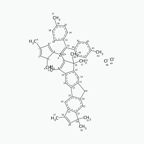 CC1=CC(C)[C]([Zr+2]([C]2=C(C)c3cc4c(cc3C2(C)C)Cc2cc3c(cc2-4)C(C)=CC3(C)C)=[C](c2ccc(C)cc2)c2ccc(C)cc2)=C1.[Cl-].[Cl-]